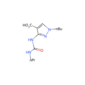 CCCCn1cc(C(=O)O)c(NC(=O)NCCC)n1